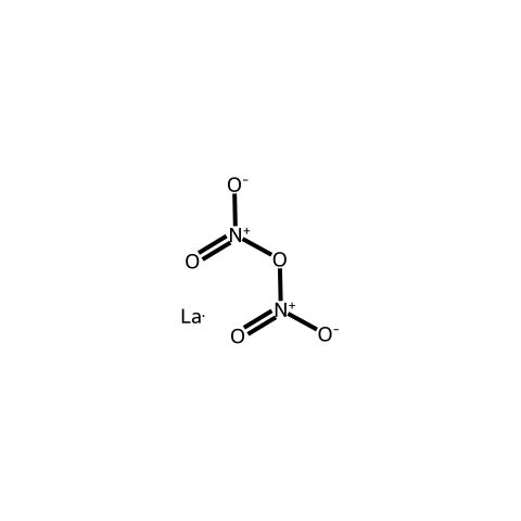 O=[N+]([O-])O[N+](=O)[O-].[La]